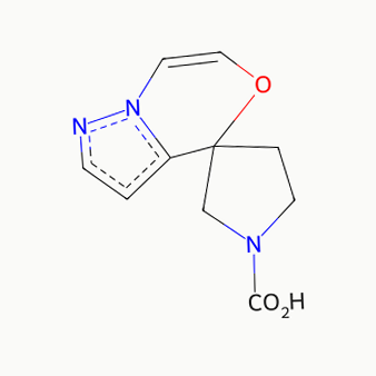 O=C(O)N1CCC2(C1)OC=Cn1nccc12